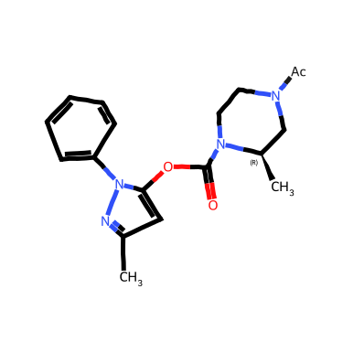 CC(=O)N1CCN(C(=O)Oc2cc(C)nn2-c2ccccc2)[C@H](C)C1